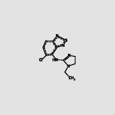 CCN1CCN=C1Nc1c(Cl)ccc2nsnc12